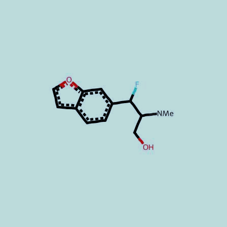 CNC(CO)C(F)c1ccc2ccoc2c1